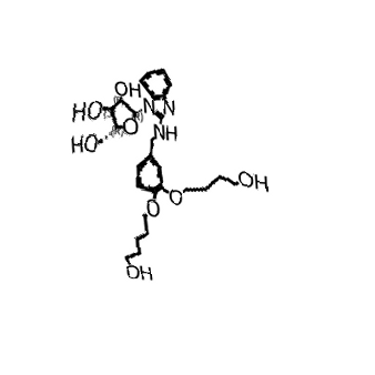 OCCCCCOc1ccc(CNc2nc3ccccc3n2[C@@H]2O[C@H](CO)[C@@H](O)[C@H]2O)cc1OCCCCO